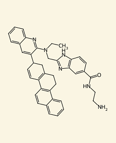 CCN(Cc1nc2cc(C(=O)NCCN)ccc2[nH]1)c1nc2ccccc2cc1C1C=CC2=C(CCc3c2ccc2ccccc32)C1